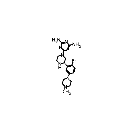 CN1CCN(c2ccc(Br)c([C@@H]3CN(c4cc(N)nc(N)n4)CCN3)c2)CC1